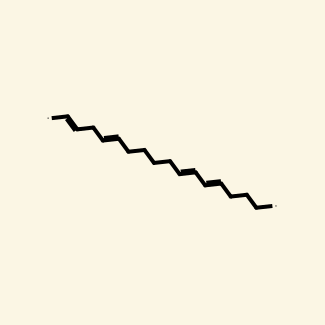 [CH2]C=CCC=CCCCCC=CC=CCCC[CH2]